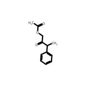 CC(=O)OCC(=O)C(C)c1ccccc1